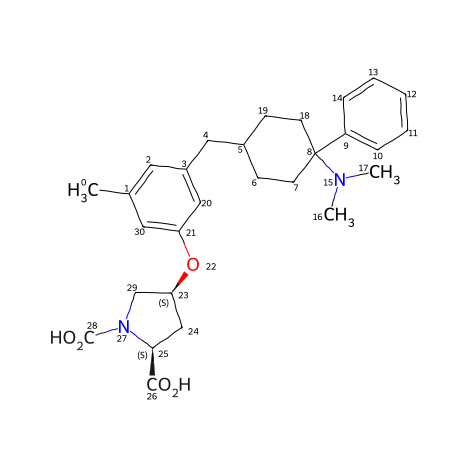 Cc1cc(CC2CCC(c3ccccc3)(N(C)C)CC2)cc(O[C@H]2C[C@@H](C(=O)O)N(C(=O)O)C2)c1